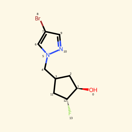 O[C@@H]1CC(Cn2cc(Br)cn2)C[C@H]1F